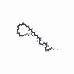 CCCCC/C=C\C/C=C\C/C=C\C/C=C\CCCCC(O)CCCC/C=C\C/C=C\C/C=C\C/C=C\CCCCC